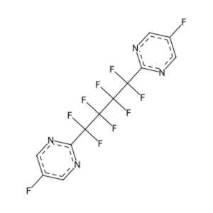 Fc1cnc(C(F)(F)C(F)(F)C(F)(F)C(F)(F)c2ncc(F)cn2)nc1